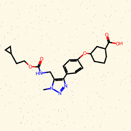 Cn1nnc(-c2ccc(OC3CCCC(C(=O)O)C3)cc2)c1CNC(=O)OCCC1CC1